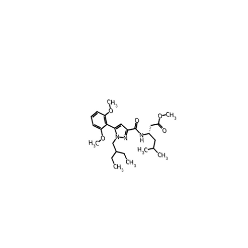 CCC(CC)Cn1nc(C(=O)N[C@H](CC(=O)OC)CC(C)C)cc1-c1c(OC)cccc1OC